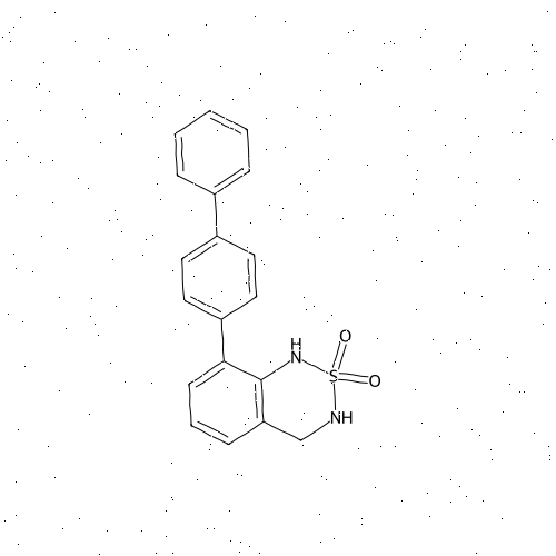 O=S1(=O)NCc2cccc(-c3ccc(-c4ccccc4)cc3)c2N1